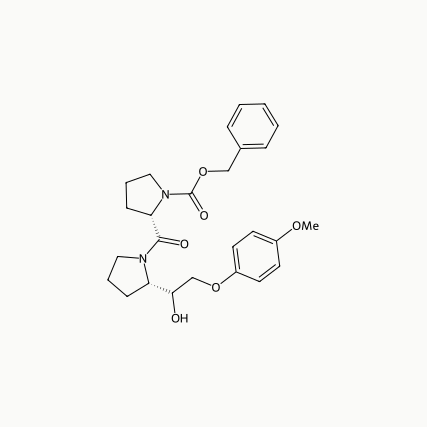 COc1ccc(OCC(O)[C@@H]2CCCN2C(=O)[C@@H]2CCCN2C(=O)OCc2ccccc2)cc1